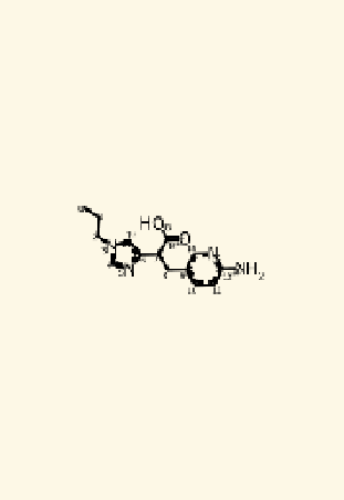 CCCn1cnc(C(Cc2ccc(N)nc2)C(=O)O)c1